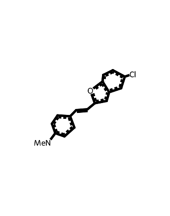 CNc1ccc(C=Cc2cc3cc(Cl)ccc3o2)cc1